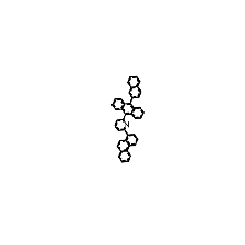 c1cc(-c2c3ccccc3c(-c3ccc4ccccc4c3)c3ccccc23)nc(-c2cccc3c2ccc2ccccc23)c1